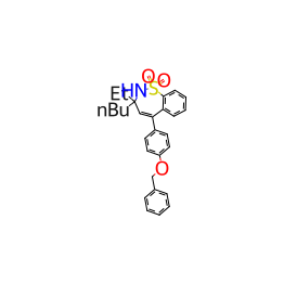 CCCCC1(CC)C=C(c2ccc(OCc3ccccc3)cc2)c2ccccc2S(=O)(=O)N1